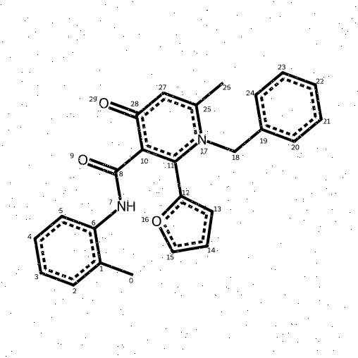 Cc1ccccc1NC(=O)c1c(-c2ccco2)n(Cc2ccccc2)c(C)cc1=O